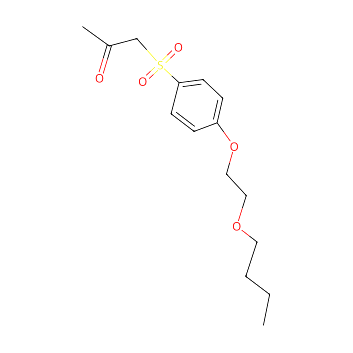 CCCCOCCOc1ccc(S(=O)(=O)CC(C)=O)cc1